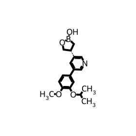 COc1ccc(-c2cncc([C@@H]3COB(O)C3)c2)cc1OC(C)C